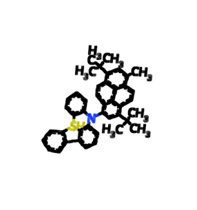 Cc1cc(C(C)(C)C)c2ccc3c(N4c5ccccc5[SH]5c6ccccc6-c6cccc4c65)cc(C(C)(C)C)c4ccc1c2c34